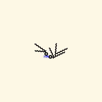 CCCCCCCCCCC(CCCCCCCC)CC(CCCCCCCC)CC(C)(CCCCCCCC)c1ccc(Nc2ccc(C(C)(CCCCCCCC)CCCCCCCCCC)cc2)cc1